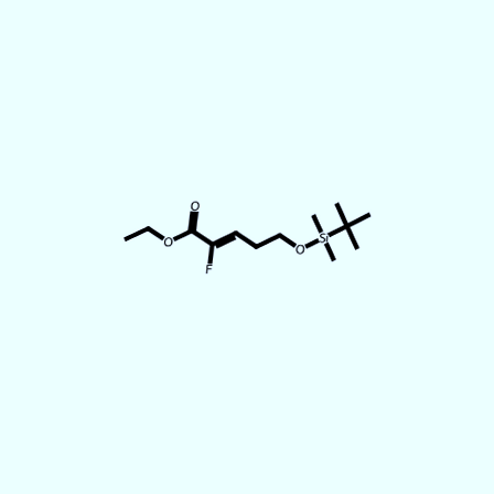 CCOC(=O)C(F)=CCCO[Si](C)(C)C(C)(C)C